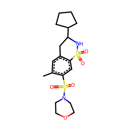 Cc1cc2c(cc1S(=O)(=O)N1CCOCC1)S(=O)(=O)NC(C1CCCC1)C2